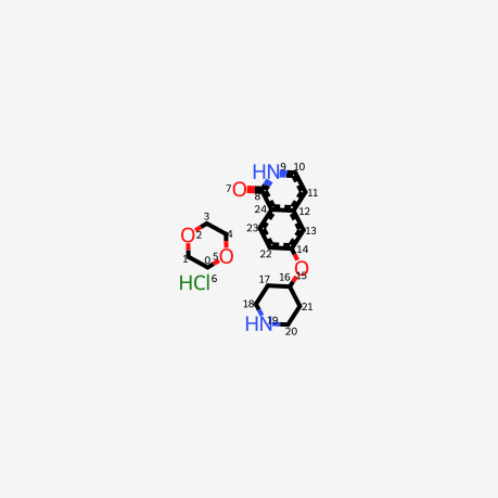 C1COCCO1.Cl.O=c1[nH]ccc2cc(OC3CCNCC3)ccc12